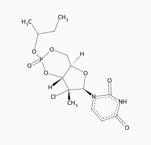 CCC(C)OP1(=O)OC[C@H]2O[C@@H](n3ccc(=O)[nH]c3=O)[C@](C)(Cl)[C@@H]2O1